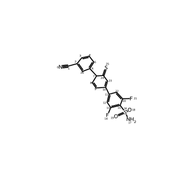 N#Cc1cccc(C2C=CC(c3cc(F)c(S(N)(=O)=O)c(F)c3)=CC2=S)c1